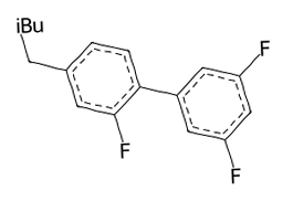 CCC(C)Cc1ccc(-c2cc(F)cc(F)c2)c(F)c1